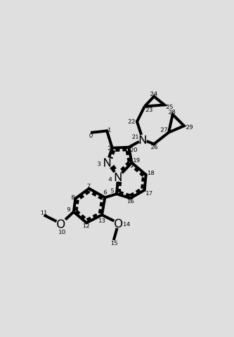 CCc1nn2c(-c3ccc(OC)cc3OC)cccc2c1N(CC1CC1)CC1CC1